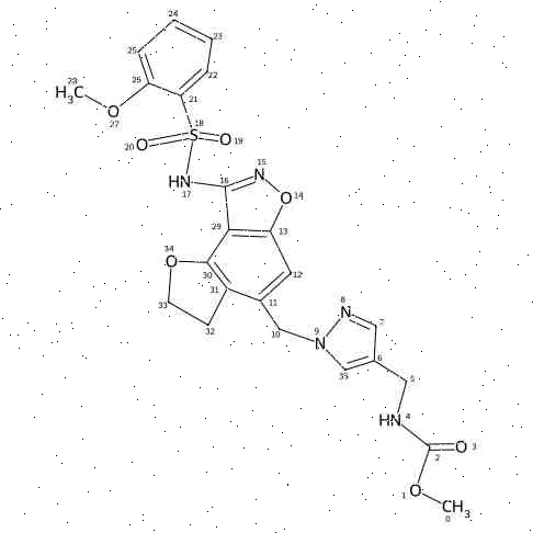 COC(=O)NCc1cnn(Cc2cc3onc(NS(=O)(=O)c4ccccc4OC)c3c3c2CCO3)c1